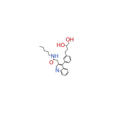 CCCCCNC(=O)Cc1cnc2ccccc2c1-c1cccc(CCC(O)CO)c1